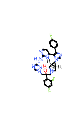 Nc1nccc(-c2c(-c3ccc(F)cc3)ncn2C2[C@H]3CN(CC(O)(Cn4cncn4)c4ccc(F)cc4F)C[C@@H]23)n1